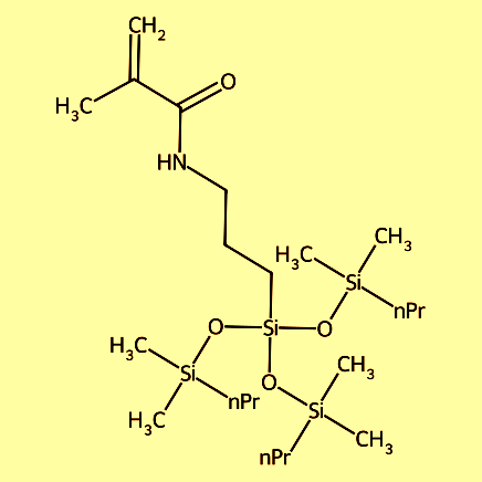 C=C(C)C(=O)NCCC[Si](O[Si](C)(C)CCC)(O[Si](C)(C)CCC)O[Si](C)(C)CCC